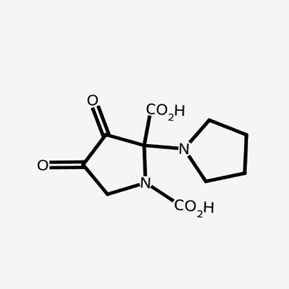 O=C1CN(C(=O)O)C(C(=O)O)(N2CCCC2)C1=O